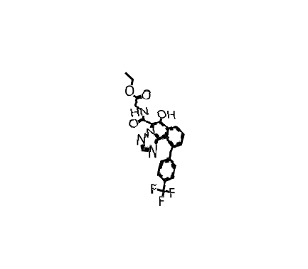 CCOC(=O)CNC(=O)c1c(O)c2cccc(-c3ccc(C(F)(F)F)cc3)c2c2ncnn12